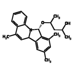 CC1=CC2c3cc(C)cc(C)c3[C@@H](OC(C)CC(C)O)N2c2ccccc21